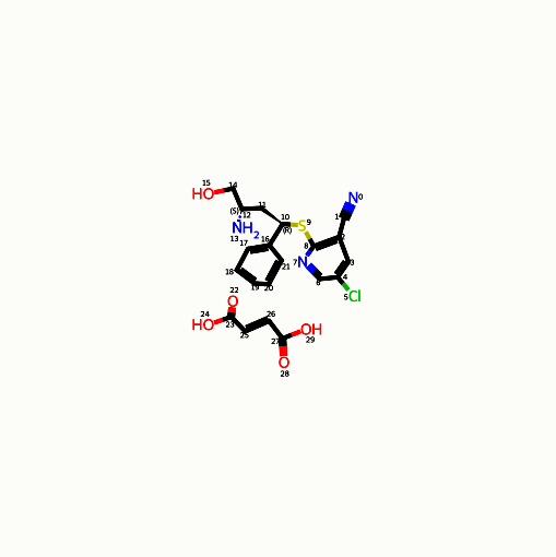 N#Cc1cc(Cl)cnc1S[C@H](C[C@H](N)CO)c1ccccc1.O=C(O)C=CC(=O)O